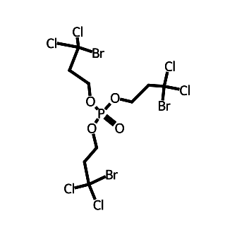 O=P(OCCC(Cl)(Cl)Br)(OCCC(Cl)(Cl)Br)OCCC(Cl)(Cl)Br